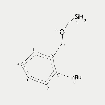 CCCCc1ccccc1CO[SiH3]